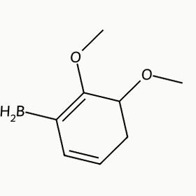 BC1=C(OC)C(OC)CC=C1